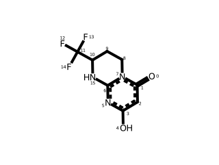 O=c1cc(O)nc2n1CCC(C(F)(F)F)N2